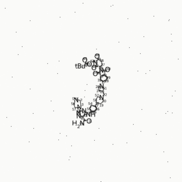 CN1CCN(c2nnc(C(N)=O)c(Nc3ccc(C4CCN(CC5CCN(c6ccc7c(c6)C(=O)N(C6CCC(=O)N(COC(=O)C(C)(C)C)C6=O)C7=O)C5)CC4)cc3)n2)CC1